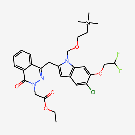 CCOC(=O)Cn1nc(Cc2cc3cc(Cl)c(OCC(F)F)cc3n2COCC[Si](C)(C)C)c2ccccc2c1=O